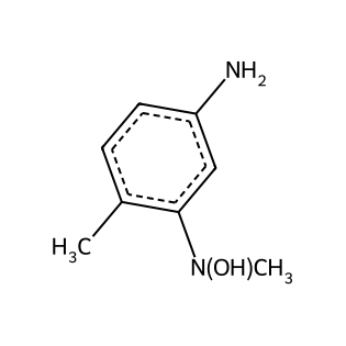 Cc1ccc(N)cc1N(C)O